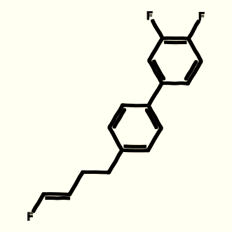 F/C=C/CCc1ccc(-c2ccc(F)c(F)c2)cc1